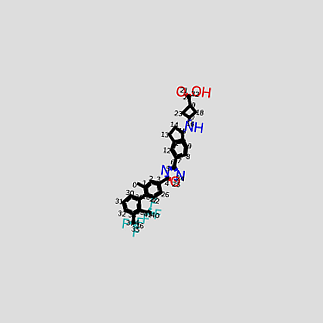 Cc1cc(-c2nc(-c3ccc4c(c3)CCC4NC3CC(C(=O)O)C3)no2)ccc1-c1cccc(C(F)(F)F)c1C(F)(F)F